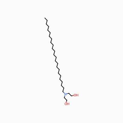 CCCCCCCCCCCCCCCCCCCCCCCCCN(CCO)CCO